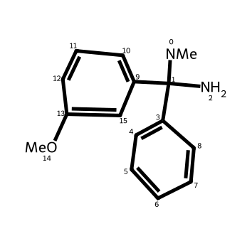 CNC(N)(c1ccccc1)c1cccc(OC)c1